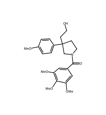 COc1ccc(C2(CCO)CCN(C(=O)c3cc(OC)c(OC)c(OC)c3)C2)cc1